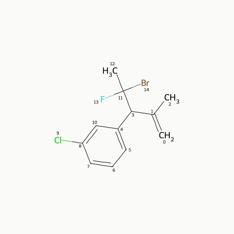 C=C(C)C(c1cccc(Cl)c1)C(C)(F)Br